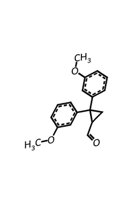 COc1cccc(C2(c3cccc(OC)c3)CC2C=O)c1